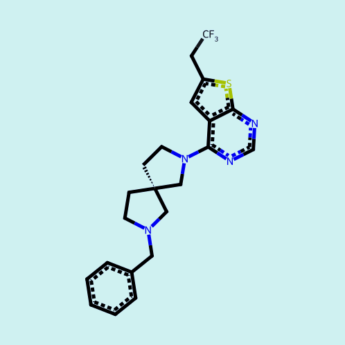 FC(F)(F)Cc1cc2c(N3CC[C@]4(CCN(Cc5ccccc5)C4)C3)ncnc2s1